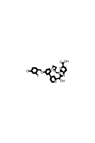 O=C(O)c1ccc2nc(C(O)c3cc(-c4cccc(OCc5ccc(Cl)cc5F)c4)ccn3)n(C[C@@H]3CCO3)c2n1